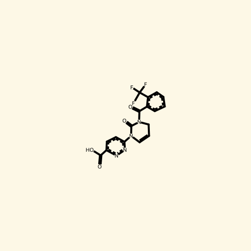 O=C(O)c1ccc(N2C=CCN(C(=O)c3ccccc3C(F)(F)F)C2=O)nn1